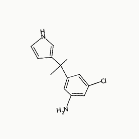 CC(C)(c1cc[nH]c1)c1cc(N)cc(Cl)c1